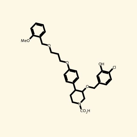 COc1ccccc1COCCCOc1ccc(C2CCN(C(=O)O)CC2OCc2ccc(Cl)c(O)c2)cc1